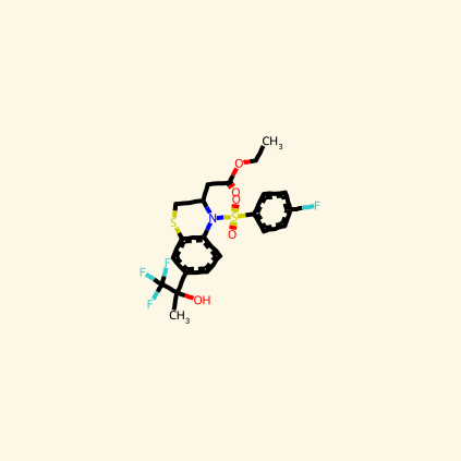 CCOC(=O)CC1CSc2cc(C(C)(O)C(F)(F)F)ccc2N1S(=O)(=O)c1ccc(F)cc1